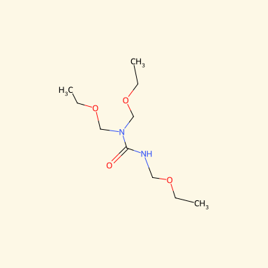 CCOCNC(=O)N(COCC)COCC